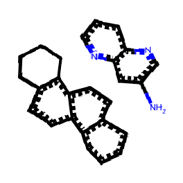 Nc1cnc2cccnc2c1.c1ccc2c(c1)ccc1c3c(ccc12)CCCC3